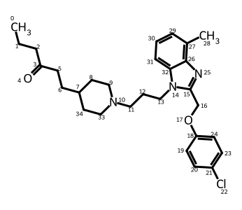 CCCC(=O)CCC1CCN(CCCn2c(COc3ccc(Cl)cc3)nc3c(C)cccc32)CC1